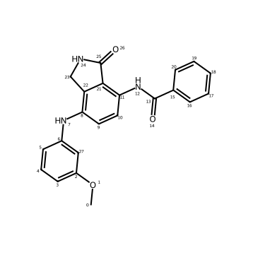 COc1cccc(Nc2ccc(NC(=O)c3ccccc3)c3c2CNC3=O)c1